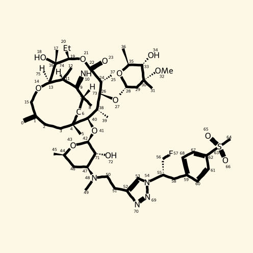 C=C1CC[C@]2(C)C[C@@H](C)C(=N)[C@H](C)[C@@H](OC1)[C@](C)(O)[C@@H](CC)OC(=O)[C@H](C)[C@@H](O[C@H]1C[C@@](C)(OC)[C@@H](O)[C@H](C)O1)[C@H](C)[C@H]2O[C@@H]1O[C@H](C)C[C@H](N(C)CCc2cn([C@H](CF)Cc3ccc(S(C)(=O)=O)cc3)nn2)[C@H]1O